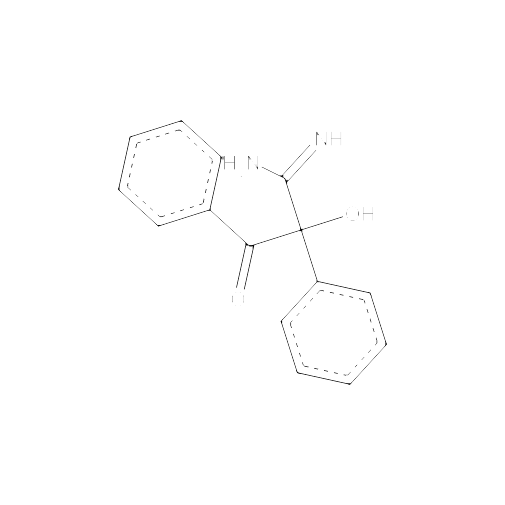 N=C(N)C(O)(C(=O)c1ccccc1)c1ccccc1